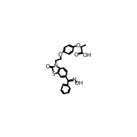 CC(Oc1ccc(OCCn2c(=O)sc3cc(C(=NO)c4ccccc4)ccc32)cc1)C(=O)O